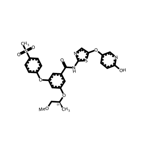 COC[C@H](C)Oc1cc(Oc2ccc(S(C)(=O)=O)cc2)cc(C(=O)Nc2ncc(Oc3ccc(O)nc3)s2)c1